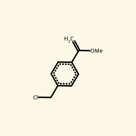 C=C(OC)c1ccc(CCl)cc1